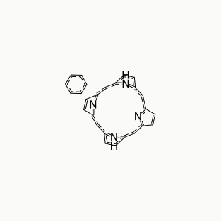 C1=Cc2cc3ccc(cc4nc(cc5ccc(cc1n2)[nH]5)C=C4)[nH]3.c1ccccc1